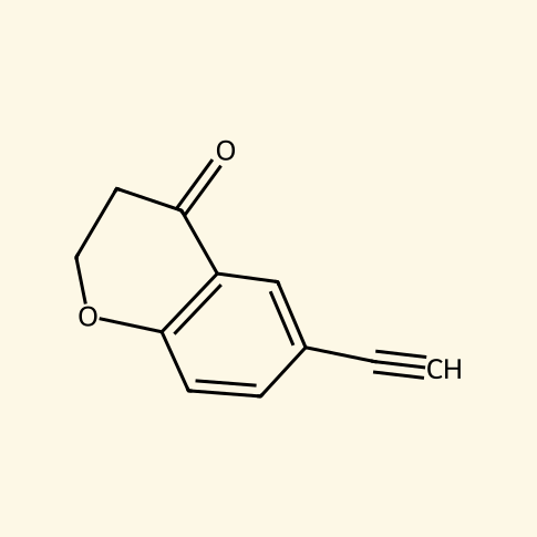 C#Cc1ccc2c(c1)C(=O)CCO2